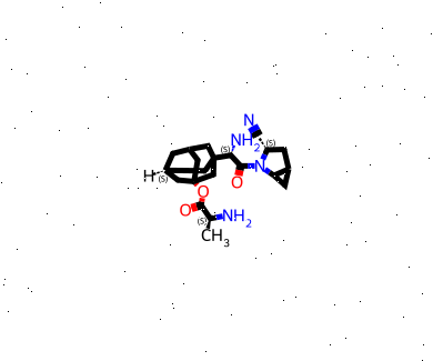 C[C@H](N)C(=O)OC12CC3C[C@H](C1)CC([C@H](N)C(=O)N1C4CC4C[C@H]1C#N)(C3)C2